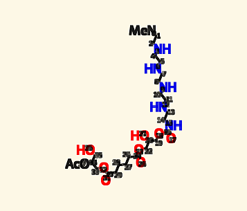 CNCCNCCNCCNCCNCCNC(=O)OCC(O)COC(=O)CCCCC(=O)OCC(CO)OC(C)=O